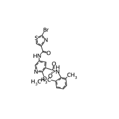 COc1ncc(NC(=O)c2csc(Br)n2)cc1S(=O)(=O)Nc1c(C)cccc1C